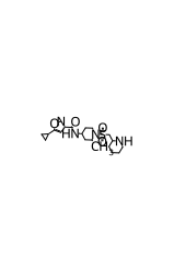 C[C@H]1C[C@@H](NC(=O)c2cc(C3CC3)on2)CCN1S(=O)(=O)CC1CCCCN1